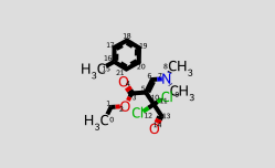 CCOC(=O)C(=CN(C)C)C(Cl)(Cl)C=O.Cc1ccccc1